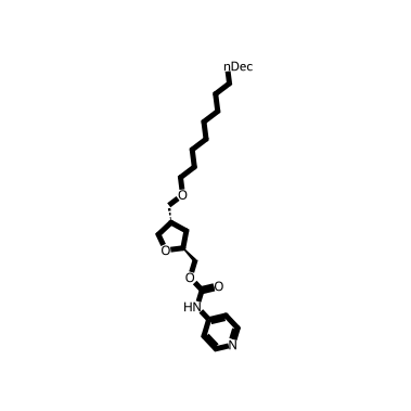 CCCCCCCCCCCCCCCCCCOC[C@H]1CO[C@H](COC(=O)Nc2ccncc2)C1